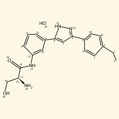 CCc1ccc(-c2cc(-c3cccc(NC(=O)[C@@H](N)CO)c3)[nH]n2)cc1.Cl